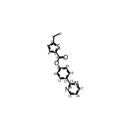 CCc1ccc(C(=O)Oc2ccc(-c3ncccn3)cc2)s1